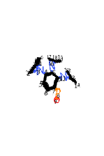 CC1CN1c1ccc(P=O)c(N2CC2C)c1N1CC1C